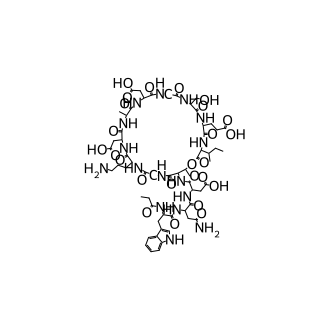 CCC(=O)NC(Cc1c[nH]c2ccccc12)C(=O)NC(CC(N)=O)C(=O)NC(CC(=O)O)C(=O)NC1C(=O)NCC(=O)NC(CCCN)C(=O)NC(CC(=O)O)C(=O)NC(C)C(=O)NC(CC(=O)O)C(=O)NCC(=O)NC(CO)C(=O)NC(CCC(=O)O)C(=O)NC(C(C)CC)C(=O)OC1C